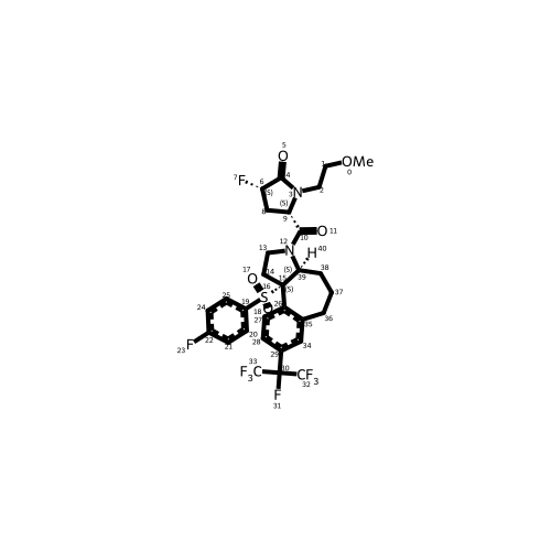 COCCN1C(=O)[C@@H](F)C[C@H]1C(=O)N1CC[C@]2(S(=O)(=O)c3ccc(F)cc3)c3ccc(C(F)(C(F)(F)F)C(F)(F)F)cc3CCC[C@H]12